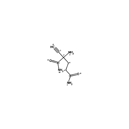 C#CC(N)(CCC(N)=O)C(N)=O